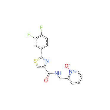 O=C(NCc1cccc[n+]1[O-])c1csc(-c2ccc(F)c(F)c2)n1